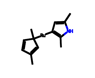 CC1=C[C](C)([Ru][c]2cc(C)[nH]c2C)C=C1